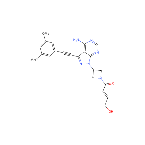 COc1cc(C#Cc2nn(C3CN(C(=O)C=CCO)C3)c3ncnc(N)c23)cc(OC)c1